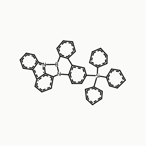 c1ccc([Si](c2ccccc2)(c2ccccc2)c2ccc3c(c2)-c2ccccc2B2N3c3cccc4c5ccccc5n2c34)cc1